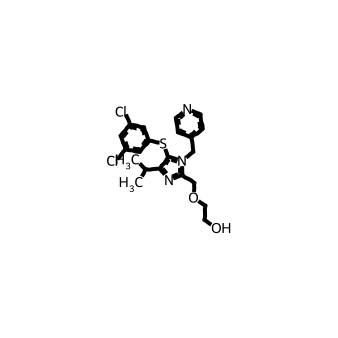 CC(C)c1nc(COCCO)n(Cc2ccncc2)c1Sc1cc(Cl)cc(Cl)c1